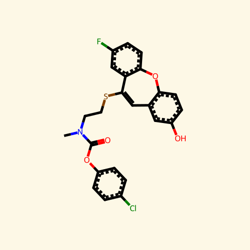 CN(CCSC1=Cc2cc(O)ccc2Oc2ccc(F)cc21)C(=O)Oc1ccc(Cl)cc1